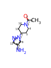 CC(=O)N1CCC(n2cc(N)cn2)CC1